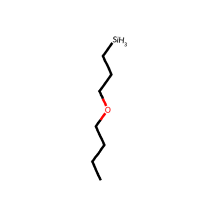 CCCCOCCC[SiH3]